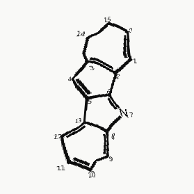 C1=CC2=C(C=C3C2=Nc2ccccc23)CC1